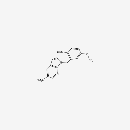 CC(C)COc1ccc(OC(F)(F)F)cc1Cn1ccc2cc(C(=O)O)cnc21